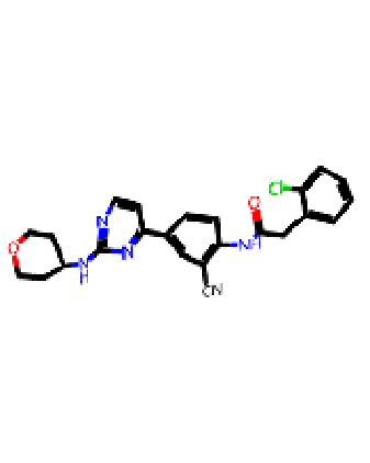 N#Cc1cc(-c2ccnc(NC3CCOCC3)n2)ccc1NC(=O)Cc1ccccc1Cl